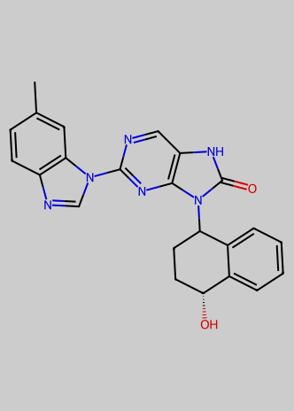 Cc1ccc2ncn(-c3ncc4[nH]c(=O)n(C5CC[C@@H](O)c6ccccc65)c4n3)c2c1